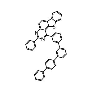 c1ccc(-c2ccc(-c3cccc(-c4cccc(-c5nc(-c6ccccc6)nc6ccc7c8ccccc8sc7c56)c4)c3)cc2)cc1